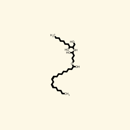 CCCCC/C=C\C/C=C\CCCCCCCC(O)OCCCC(O)NC(CO)C(O)CCCCCCC